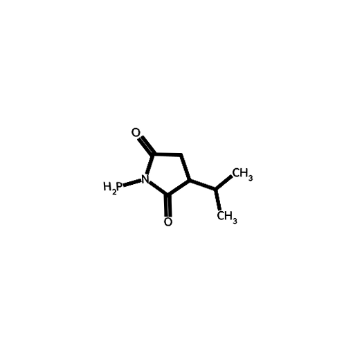 CC(C)C1CC(=O)N(P)C1=O